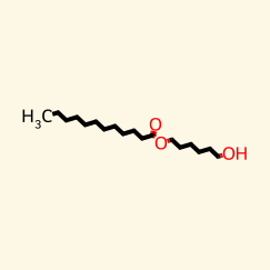 CCCCCCCCCCCC(=O)OCCCCCCO